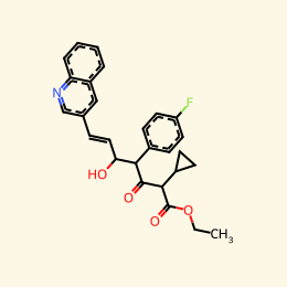 CCOC(=O)C(C(=O)C(c1ccc(F)cc1)C(O)C=Cc1cnc2ccccc2c1)C1CC1